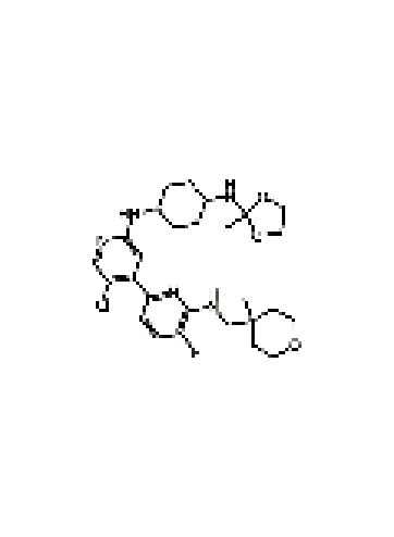 CC1(CNc2nc(-c3cc(N[C@H]4CC[C@H](NC5(C)OCCO5)CC4)ncc3Cl)ccc2F)CCOCC1